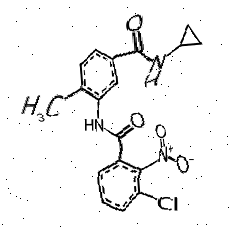 Cc1ccc(C(=O)NC2CC2)cc1NC(=O)c1cccc(Cl)c1[N+](=O)[O-]